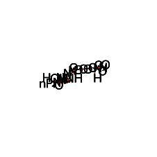 CCCN(CCO)C(=O)C1=Cc2ccc(C3(C(=O)Nc4cnc5c(c4)CN(C(=O)CCOCCOCCOCCOCCNC(=O)CCN4C(=O)C=CC4=O)CC5)CC3)cc2N=C(N)C1